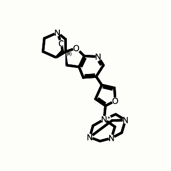 c1nc2c(cc1-c1coc([N+]34CN5CN(CN(C5)C3)C4)c1)C[C@@]1(CN3CCC1CC3)O2